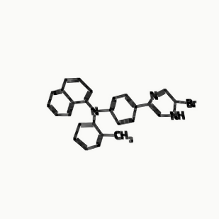 Cc1ccccc1N(c1ccc(C2=CNC(Br)C=N2)cc1)c1cccc2ccccc12